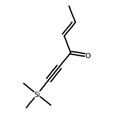 CC=CC(=O)C#C[Si](C)(C)C